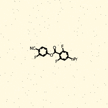 CCCc1cc(F)c(C(=O)Oc2ccc(C#N)c(F)c2)c(F)c1